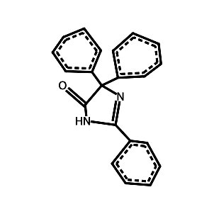 O=C1NC(c2ccccc2)=NC1(c1ccccc1)c1ccccc1